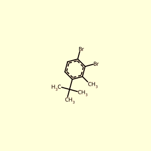 Cc1c(C(C)(C)C)ccc(Br)c1Br